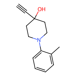 C#CC1(O)CCN(c2ccccc2C)CC1